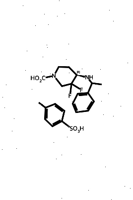 CC(N[C@@H]1CCN(C(=O)O)CC1(F)F)c1ccccc1.Cc1ccc(S(=O)(=O)O)cc1